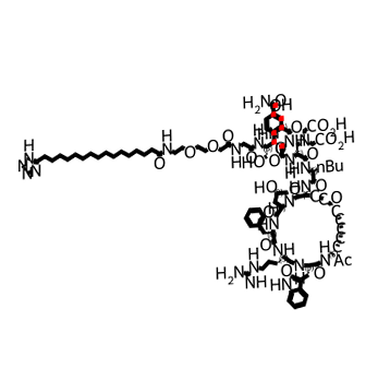 CCCC[C@H](NC(=O)[C@H](CN(CC(=O)O)CC(=O)O)NC(=O)[C@H](Cc1ccc(O)cc1)NC(=O)[C@H](CCC(N)=O)NC(=O)[C@H](CO)NC(=O)CNC(=O)COCCOCCNC(=O)CCCCCCCCCCCCCCCc1nnn[nH]1)C(=O)N[C@H]1CCC(=O)CCCCC[C@@H](C(C)=O)NC(=O)[C@H](Cc2c[nH]c3ccccc23)NC(=O)[C@H](CCCNC(=N)N)NC(=O)[C@@H](Cc2ccccc2)NC(=O)[C@@H]2C[C@@H](O)CN2C1=O